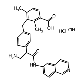 Cc1ccc(C(=O)O)c(C)c1Cc1ccc(C(CN)C(=O)Nc2ccc3cnccc3c2)cc1.Cl.Cl